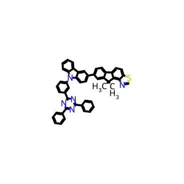 CC1(C)c2cc(-c3ccc4c(c3)c3ccccc3n4-c3cccc(-c4nc(-c5ccccc5)nc(-c5ccccc5)n4)c3)ccc2-c2ccc3scnc3c21